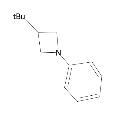 CC(C)(C)C1CN(c2ccccc2)C1